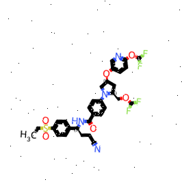 CCS(=O)(=O)c1ccc([C@H](CCC#N)NC(=O)c2ccc(N3C[C@@H](Oc4ccc(OC(F)F)nc4)C[C@H]3COC(F)F)cc2)cc1